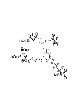 CCCCCCCCC(CC)OC(=O)CCCCCCCN(CCCCCCCC(=O)OC(CCCCCCCC)CCCCCCCC)CCCNC1=C(C#N)C(=O)OC1.O=C(O)C(F)(F)F